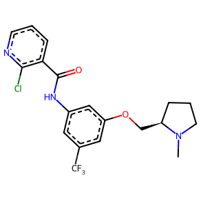 CN1CCC[C@@H]1COc1cc(NC(=O)c2cccnc2Cl)cc(C(F)(F)F)c1